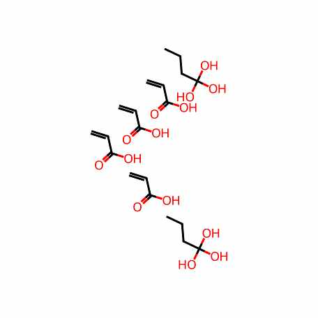 C=CC(=O)O.C=CC(=O)O.C=CC(=O)O.C=CC(=O)O.CCCC(O)(O)O.CCCC(O)(O)O